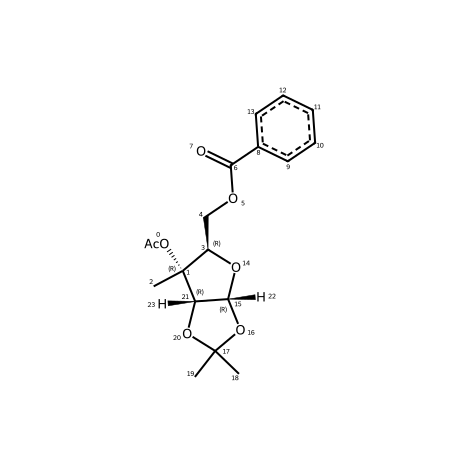 CC(=O)O[C@]1(C)[C@@H](COC(=O)c2ccccc2)O[C@@H]2OC(C)(C)O[C@@H]21